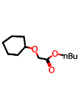 CCCCOC(=O)COC1CCCCC1